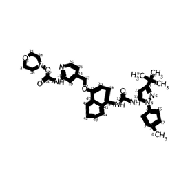 Cc1ccc(-n2nc(C(C)(C)C)cc2NC(=O)Nc2ccc(OCc3ccnc(NC(=O)ON4CCOCC4)c3)c3ccccc23)cc1